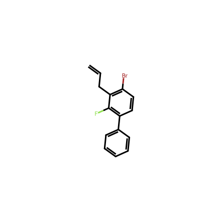 C=CCc1c(Br)ccc(-c2ccccc2)c1F